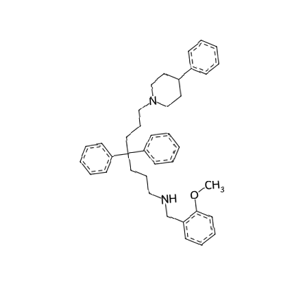 COc1ccccc1CNCCCC(CCCN1CCC(c2ccccc2)CC1)(c1ccccc1)c1ccccc1